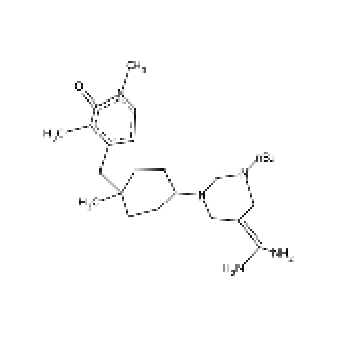 CCCCN1CC(=C(N)N)CN(C2CCC(C)(Cc3ccn(C)c(=O)c3C)CC2)C1